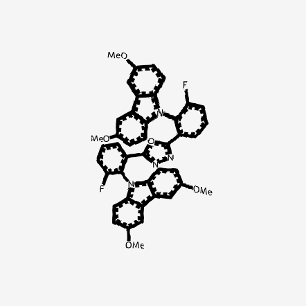 COc1ccc2c(c1)c1cc(OC)ccc1n2-c1c(F)cccc1-c1nnc(-c2cccc(F)c2-n2c3ccc(OC)cc3c3cc(OC)ccc32)o1